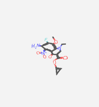 CCn1cc(C(=O)OC2CC2)c(=O)c2c([N+](=O)[O-])c(N)c(F)c(OC)c21